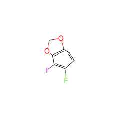 Fc1ccc2c(c1I)OCO2